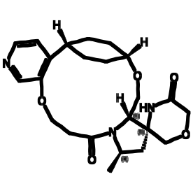 C[C@@H]1C[C@]2(COCC(=O)N2)[C@H]2CO[C@H]3CC[C@H](CC3)c3ccncc3OCCC(=O)N12